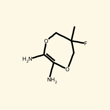 CC1(F)COC(N)=C(N)OC1